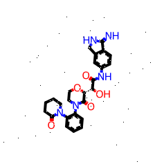 N=C1NCc2cc(NC(=O)C(O)[C@H]3OCCN(c4ccccc4N4CCCCC4=O)C3=O)ccc21